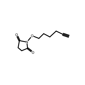 C#CCCCCON1C(=O)CCC1=O